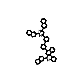 c1cc(-c2cccc(-c3cc4c(-c5ccc6ccccc6c5)nc5ccccc5c4c4ccccc34)c2)cc(-c2cc(-c3ccc4ccccc4c3)nc(-c3ccc4ccccc4c3)n2)c1